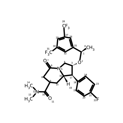 C[C@@H](O[C@H]1CN2C(=O)CC(C(=O)N(C)C)C[C@H]2[C@@H]1c1ccc(F)cc1)c1cc(C(F)(F)F)cc(C(F)(F)F)c1